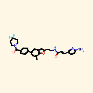 Cc1cc(-c2ccc(C(=O)N3CCC(F)(F)CC3)cc2)cc2cc(CCNC(=O)/C=C/c3ccc(N)nc3)oc12